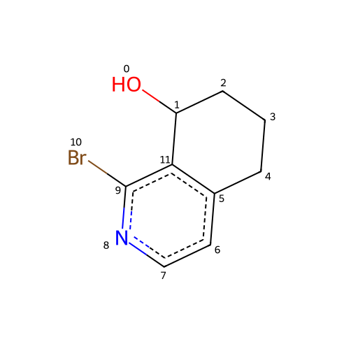 OC1CCCc2ccnc(Br)c21